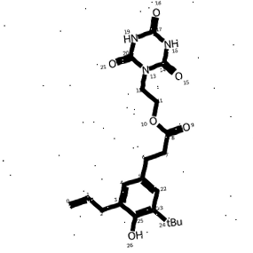 C=CCc1cc(CCC(=O)OCCn2c(=O)[nH]c(=O)[nH]c2=O)cc(C(C)(C)C)c1O